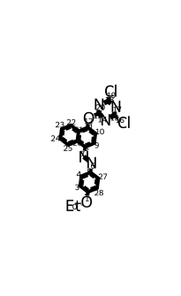 CCOc1ccc(N=Nc2ccc(Oc3nc(Cl)nc(Cl)n3)c3ccccc23)cc1